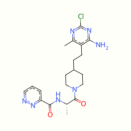 Cc1nc(Cl)nc(N)c1CCC1CCN(C(=O)[C@H](C)NC(=O)c2cccnn2)CC1